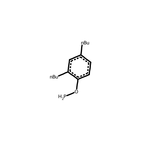 CCCCc1ccc(OP)c(CCCC)c1